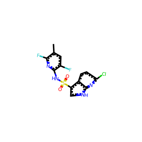 Cc1cc(F)c(NS(=O)(=O)c2c[nH]c3nc(Cl)ccc23)nc1F